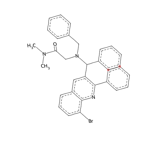 CN(C)C(=O)CN(Cc1ccccc1)C(c1ccccc1)c1cc2cccc(Br)c2nc1-c1ccccc1